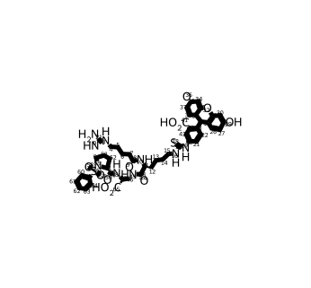 N=C(N)NCCCCC(=O)N[C@@H](CCCCNC(=S)Nc1ccc(C2c3ccc(O)cc3OC3=CC(=O)C=CC32)c(C(=O)O)c1)C(=O)NC[C@H](NC(=O)[C@@H]1CCCN1S(=O)(=O)c1ccccc1)C(=O)O